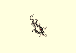 C[C@@H]1[C@@H](C)CCC[C@](O)(CN2CCN(CC(F)(F)F)CC2)[C@@H]2CC[C@H]2CN2C[C@@]3(CCCc4cc(Cl)ccc43)COc3ccc(cc32)C(=O)NS1(=O)=O